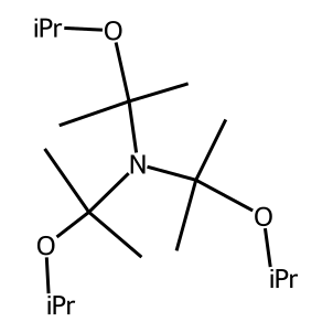 CC(C)OC(C)(C)N(C(C)(C)OC(C)C)C(C)(C)OC(C)C